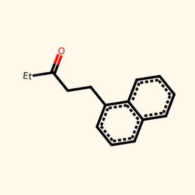 CCC(=O)CCc1cccc2ccccc12